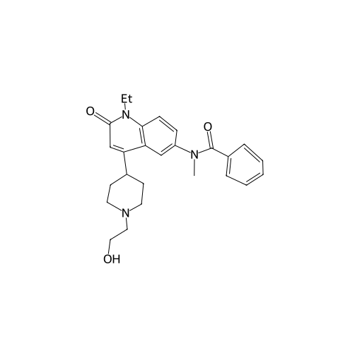 CCn1c(=O)cc(C2CCN(CCO)CC2)c2cc(N(C)C(=O)c3ccccc3)ccc21